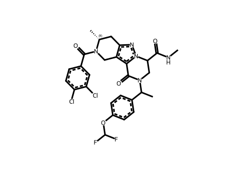 CNC(=O)C1CN(C(C)c2ccc(OC(F)F)cc2)C(=O)c2c3c(nn21)C[C@@H](C)N(C(=O)c1ccc(Cl)c(Cl)c1)C3